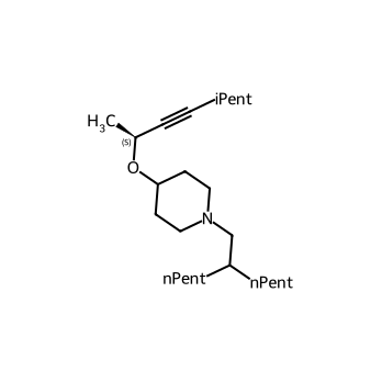 CCCCCC(CCCCC)CN1CCC(O[C@@H](C)C#CC(C)CCC)CC1